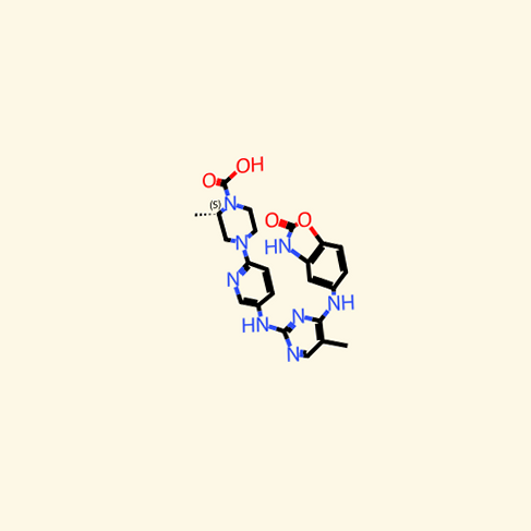 Cc1cnc(Nc2ccc(N3CCN(C(=O)O)[C@@H](C)C3)nc2)nc1Nc1ccc2oc(=O)[nH]c2c1